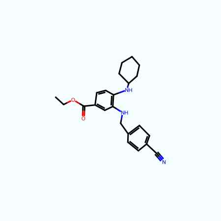 CCOC(=O)c1ccc(NC2CCCCC2)c(NCc2ccc(C#N)cc2)c1